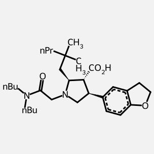 CCCCN(CCCC)C(=O)CN1C[C@H](c2ccc3c(c2)CCO3)[C@@H](C(=O)O)[C@@H]1CC(C)(C)CCC